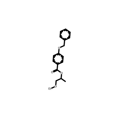 CCOCC(C)OC(=O)c1ccc(OCc2ccccc2)cc1